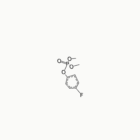 COP(=O)(OC)Oc1ccc(F)cc1